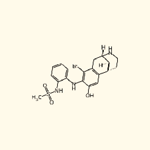 CS(=O)(=O)Nc1ccccc1Nc1c(O)cc2c(c1Br)C[C@@H]1NCC[C@]23CCCC[C@H]13